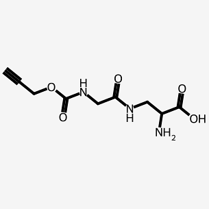 C#CCOC(=O)NCC(=O)NCC(N)C(=O)O